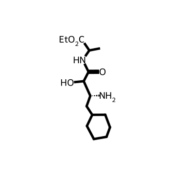 CCOC(=O)C(C)NC(=O)C(O)[C@H](N)CC1CCCCC1